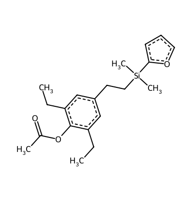 CCc1cc(CC[Si](C)(C)c2ccco2)cc(CC)c1OC(C)=O